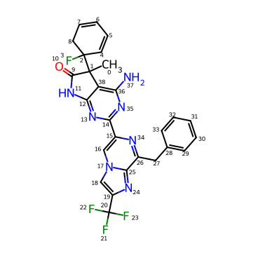 CC1(C2(F)C=CC=CC2)C(=O)Nc2nc(-c3cn4cc(C(F)(F)F)nc4c(Cc4ccccc4)n3)nc(N)c21